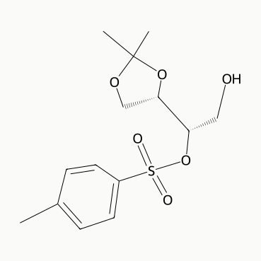 Cc1ccc(S(=O)(=O)O[C@@H](CO)[C@@H]2COC(C)(C)O2)cc1